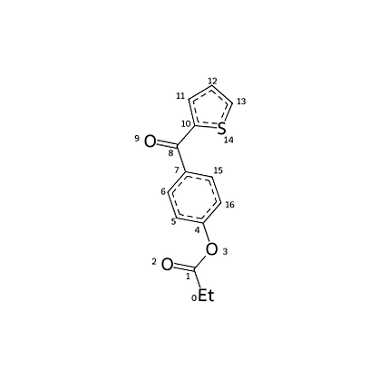 CCC(=O)Oc1ccc(C(=O)c2cccs2)cc1